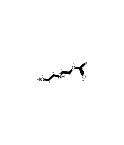 CC(=O)OCCNCCO